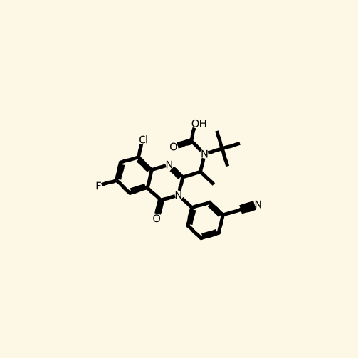 CC(c1nc2c(Cl)cc(F)cc2c(=O)n1-c1cccc(C#N)c1)N(C(=O)O)C(C)(C)C